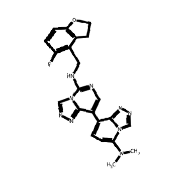 CN(C)c1ccc(-c2cnc(NCc3c(F)ccc4c3CCO4)n3cnnc23)c2nncn12